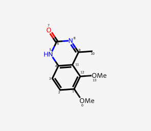 COc1ccc2[nH]c(=O)nc(C)c2c1OC